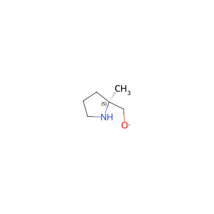 C[C@@]1(C[O])CCCN1